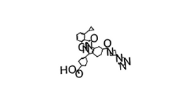 O=C(O)C1CC=C(c2nn(C(=O)c3c(Cl)cccc3C3CC3)c3c2CCC(C(=O)N2CC(n4cnnc4)C2)C3)CC1